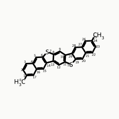 Cc1ccc2cc3sc4cc5c(cc4c3cc2c1)sc1cc2ccc(C)cc2cc15